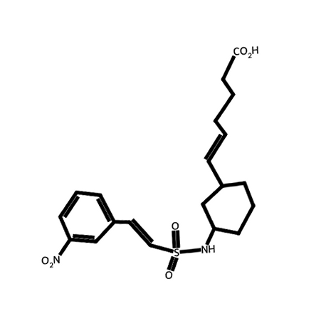 O=C(O)CCCC=CC1CCCC(NS(=O)(=O)C=Cc2cccc([N+](=O)[O-])c2)C1